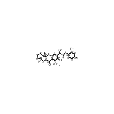 Cc1c2n(cc(C(=O)NCc3ccc(F)cc3F)c1=O)C[C@@H]1N(C[C@H]3CCCN31)C2=O